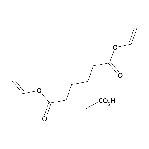 C=COC(=O)CCCCC(=O)OC=C.CC(=O)O